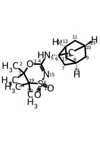 CC1(C)OC(N[C@]23C[C@@H]4C[C@@H](C[C@H]2C4)C3)=NS(=O)(=O)C1(C)C